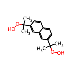 CC(C)(OO)c1ccc2ccc(C(C)(C)OO)cc2c1